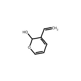 C=CC1=CC=COC1O